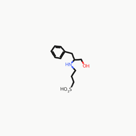 O=S(=O)(O)CCCNC(CO)Cc1ccccc1